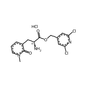 Cl.Cn1cccc(C[C@H](N)C(=O)OCc2cc(Cl)nc(Cl)c2)c1=O